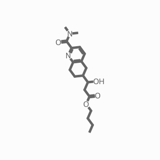 CCCCOC(=O)CC(O)C1CCc2nc(C(=O)N(C)C)ccc2C1